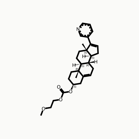 COCCOC(=O)O[C@H]1CC[C@@]2(C)C(=CC[C@@H]3[C@@H]2CC[C@]2(C)C(c4cccnc4)=CC[C@@H]32)C1